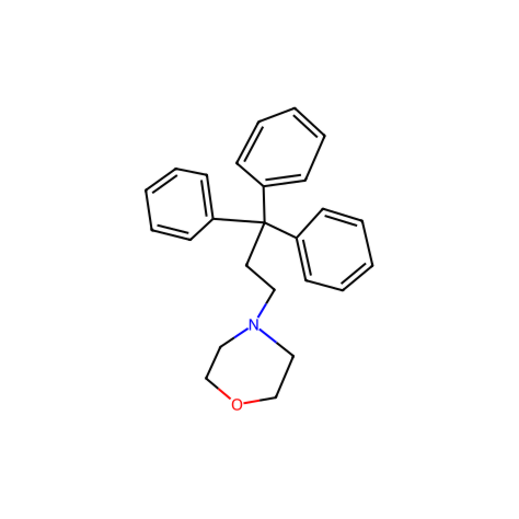 c1ccc(C(CCN2CCOCC2)(c2ccccc2)c2ccccc2)cc1